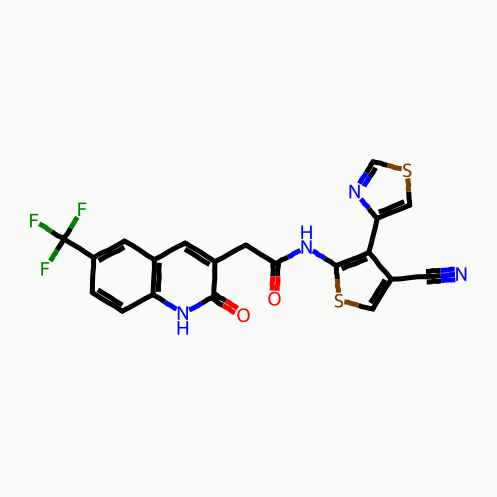 N#Cc1csc(NC(=O)Cc2cc3cc(C(F)(F)F)ccc3[nH]c2=O)c1-c1cscn1